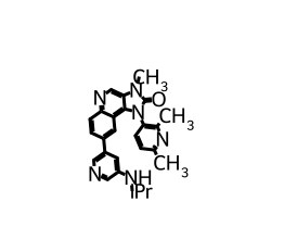 Cc1ccc(-n2c(=O)n(C)c3cnc4ccc(-c5cncc(NC(C)C)c5)cc4c32)c(C)n1